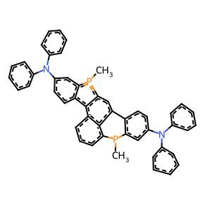 CP1c2cc(N(c3ccccc3)c3ccccc3)ccc2-c2cc3c(c4cccc1c24)c1ccc(N(c2ccccc2)c2ccccc2)cc1p3C